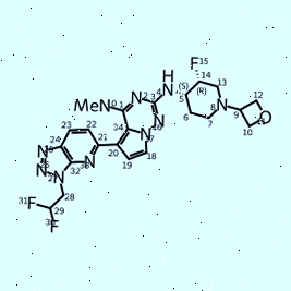 CNc1nc(N[C@H]2CCN(C3COC3)C[C@H]2F)nn2ccc(-c3ccc4nnn(CC(F)F)c4n3)c12